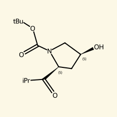 CC(C)C(=O)[C@@H]1C[C@H](O)CN1C(=O)OC(C)(C)C